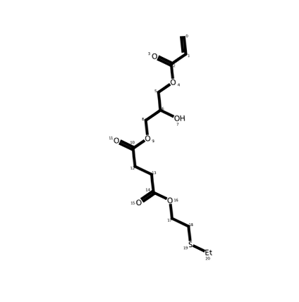 C=CC(=O)OCC(O)COC(=O)CCC(=O)OCCSCC